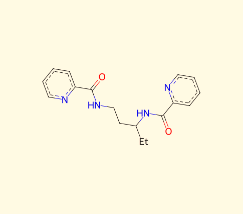 CCC(CCNC(=O)c1ccccn1)NC(=O)c1ccccn1